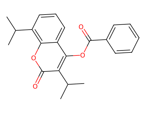 CC(C)c1c(OC(=O)c2ccccc2)c2cccc(C(C)C)c2oc1=O